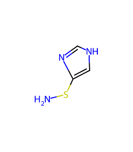 NSc1c[nH]cn1